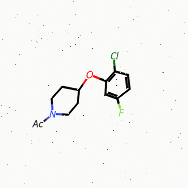 [CH2]C(=O)N1CCC(Oc2cc(F)ccc2Cl)CC1